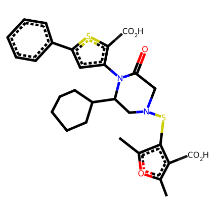 Cc1oc(C)c(C(=O)O)c1SN1CC(=O)N(c2cc(-c3ccccc3)sc2C(=O)O)C(C2CCCCC2)C1